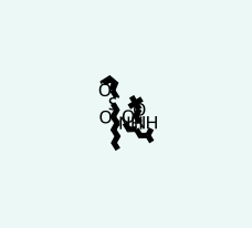 CCCCC(NCC(CC(C)C)NC(=O)OC(C)(C)C)C(=O)CSCc1ccco1